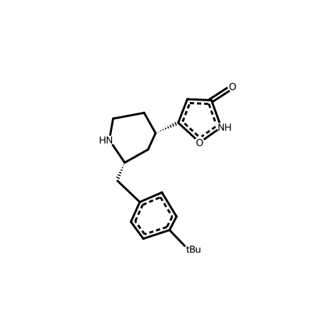 CC(C)(C)c1ccc(C[C@H]2C[C@@H](c3cc(=O)[nH]o3)CCN2)cc1